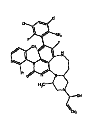 C=CC(O)N1CC(C)N2c3nc(=O)n(-c4c(C)ccnc4C(C)C)c4cc(-c5c(N)c(Cl)cc(Cl)c5F)c(F)c(c34)NCCC2C1